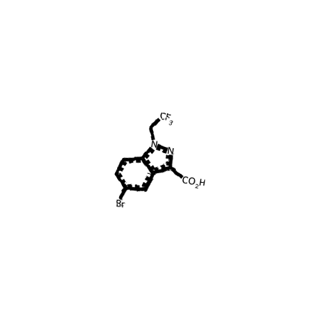 O=C(O)c1nn(CC(F)(F)F)c2ccc(Br)cc12